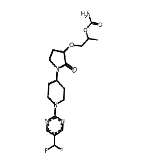 CC(COC1CCN(C2CCN(c3ncc(C(F)F)cn3)CC2)C1=O)OC(N)=O